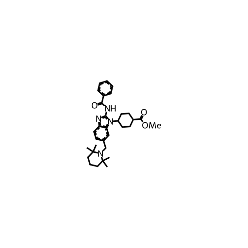 COC(=O)C1CCC(n2c(NC(=O)c3ccccc3)nc3ccc(CN4C(C)(C)CCCC4(C)C)cc32)CC1